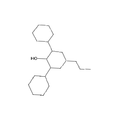 CCCC1CC(C2CCCCC2)C(O)C(C2CCCCC2)C1